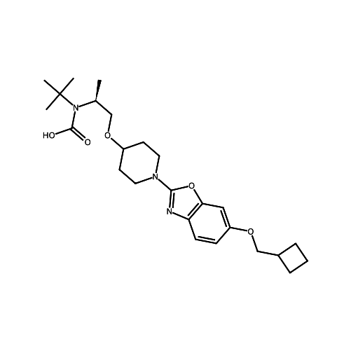 C[C@@H](COC1CCN(c2nc3ccc(OCC4CCC4)cc3o2)CC1)N(C(=O)O)C(C)(C)C